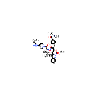 CC[C@H](C)[C@H](NC(=O)[C@H](Cc1ccc(C(=O)N(C)C)cc1)C[C@H](O[Si](C)(C)C(C)(C)C)[C@H](Cc1ccccc1)NC(=O)OC(C)(C)C)C(=O)N1CCC(NCCOC)CC1